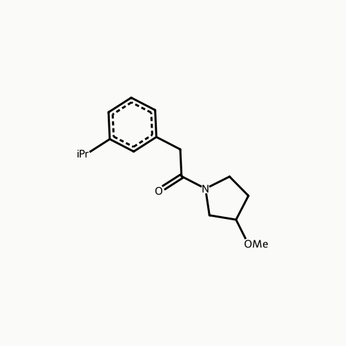 COC1CCN(C(=O)Cc2cccc(C(C)C)c2)C1